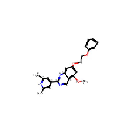 COc1cc(OCCOc2ccccc2)cc2nc(-c3cc(C)nc(C)c3)ncc12